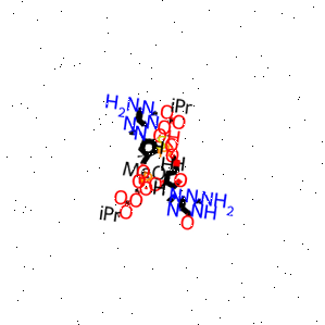 CO[C@H]1[C@H]2O[P@@](=O)(OCOC(=O)OC(C)C)OC[C@@]3(C)C[C@@H](n4cnc5c(N)ncnc54)[C@H](O)[C@@H]3[P@@](=O)(SCOC(=O)OC(C)C)OC[C@H]1O[C@H]2n1cnc2c(=O)[nH]c(N)nc21